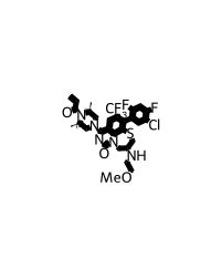 C=CC(=O)N1[C@H](C)CN(c2nc(=O)n3c4c(c(-c5cc(Cl)c(F)cc5F)c(C(F)(F)F)cc24)SCC(NCCOC)C3)C[C@@H]1C